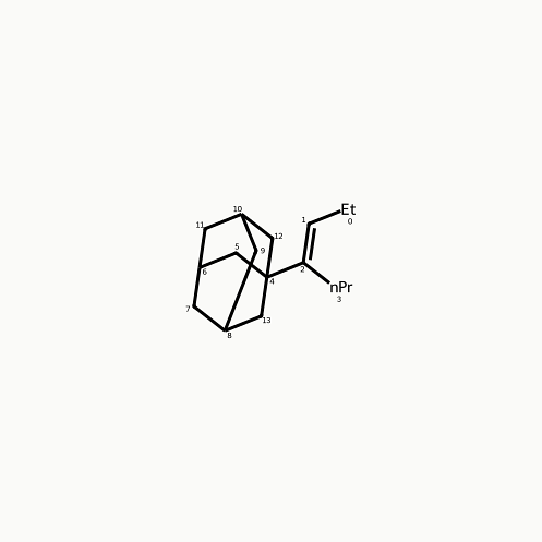 CCC=C(CCC)C12CC3CC(CC(C3)C1)C2